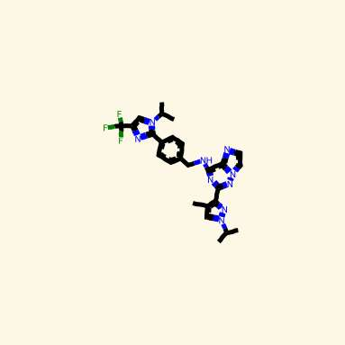 Cc1cn(C(C)C)nc1-c1nc(NCc2ccc(-c3nc(C(F)(F)F)cn3C(C)C)cc2)c2nccn2n1